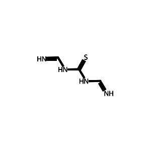 N=CNC(=S)NC=N